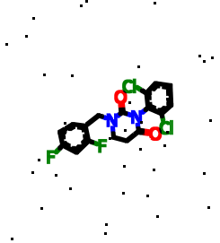 O=C1CCN(Cc2ccc(F)cc2F)C(=O)N1c1c(Cl)cccc1Cl